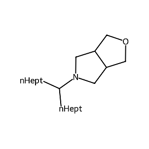 CCCCCCCC(CCCCCCC)N1CC2COCC2C1